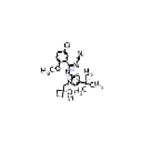 COc1ccc(Cl)cc1C(/N=c1\sc(C(C)(C)C)cn1CC1(O)CCC1)=N\C#N